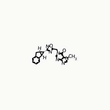 Cn1cnc2ncn(Cc3nc([C@H]4[C@@H]5Cc6ccccc6[C@@H]54)no3)c(=O)c21